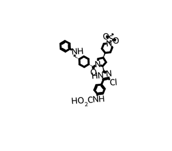 CS(=O)(=O)N1CCC([C@H]2C[C@@H](c3nc(Cl)c(-c4ccc(NC(=O)O)cc4)[nH]3)N(C(=O)[C@H]3CC[C@@H](CNc4ccccc4)CC3)C2)CC1